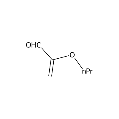 C=C(C=O)OCCC